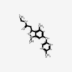 CCOC(=O)CC1OB(O)c2cc(Oc3cnc(C)cn3)cc(C)c21